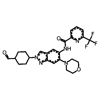 O=CC1CCC(n2cc3cc(NC(=O)c4cccc(C(F)(F)F)n4)c(N4CCOCC4)cc3n2)CC1